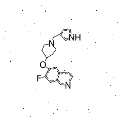 Fc1cc2cnccc2cc1OC1CCN(Cc2cc[nH]c2)CC1